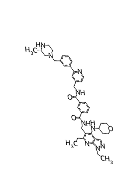 CCc1nc2c(cnn2CC)c(NC2CCOCC2)c1CNC(=O)c1cccc(C(=O)NCc2ccnc(-c3cccc(CN4CCN[C@@H](C)C4)c3)c2)c1